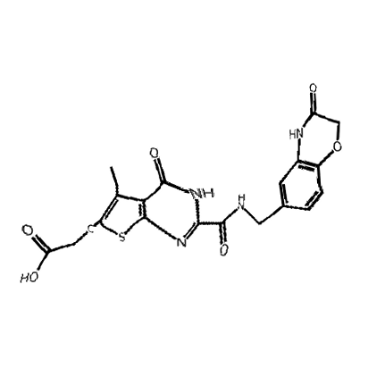 Cc1c(CCC(=O)O)sc2nc(C(=O)NCc3ccc4c(c3)NC(=O)CO4)[nH]c(=O)c12